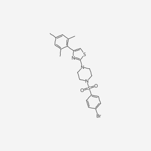 Cc1cc(C)c(-c2csc(N3CCN(S(=O)(=O)c4ccc(Br)cc4)CC3)n2)c(C)c1